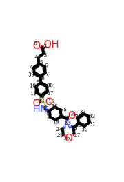 O=C(O)CCc1ccc(-c2ccc(S(=O)(=O)NC3CCC(C(=O)N4CCOCC4c4ccccc4)CC3)cc2)cc1